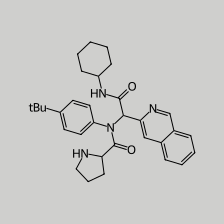 CC(C)(C)c1ccc(N(C(=O)C2CCCN2)C(C(=O)NC2CCCCC2)c2cc3ccccc3cn2)cc1